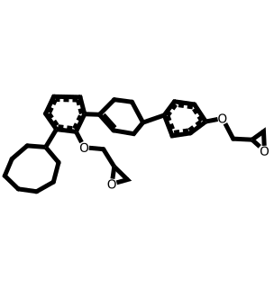 C1=C(c2cccc(C3CCCCCCC3)c2OCC2CO2)CCC(c2ccc(OCC3CO3)cc2)C1